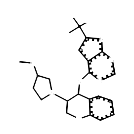 COC1CCN(C2COc3ccccc3C2Nc2ncnc3[nH]c(C(F)(F)F)cc23)C1